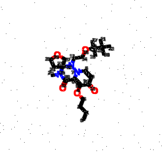 CCCCOc1c2n(ccc1=O)N(CCO[Si](C)(C)C(C)(C)C)C1(CCOC1)N(C)C2=O